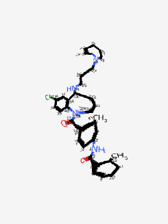 Cc1cc(NC(=O)C2C=CC=CC2C)ccc1C(=O)N1CCCC(NCCCN2CCCCC2)c2cc(Cl)ccc21